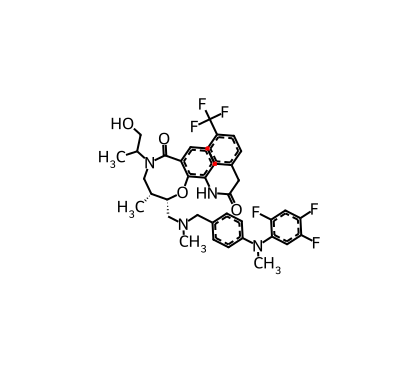 CC(CO)N1C[C@@H](C)[C@@H](CN(C)Cc2ccc(N(C)c3cc(F)c(F)cc3F)cc2)Oc2c(NC(=O)Cc3ccc(C(F)(F)F)cc3)cccc2C1=O